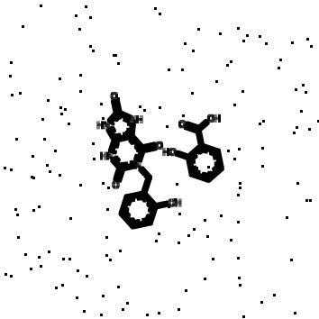 O=C(O)c1ccccc1O.O=c1[nH]c2[nH]c(=O)n(Cc3ccccc3O)c(=O)c2[nH]1